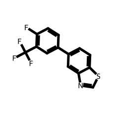 Fc1ccc(-c2ccc3scnc3c2)cc1C(F)(F)F